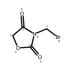 O=C1COC(=O)N1CBr